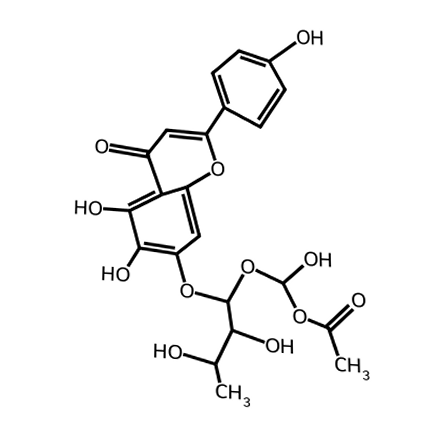 CC(=O)OC(O)OC(Oc1cc2oc(-c3ccc(O)cc3)cc(=O)c2c(O)c1O)C(O)C(C)O